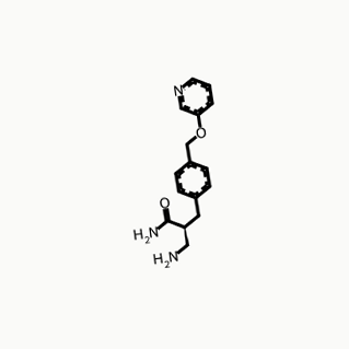 NC[C@H](Cc1ccc(COc2cccnc2)cc1)C(N)=O